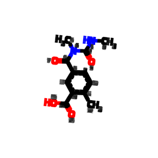 CNC(=O)N(C)C(=O)c1ccc(C)c(C(=O)O)c1